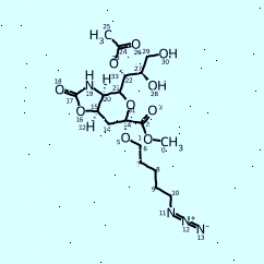 COC(=O)[C@@]1(OCCCCCN=[N+]=[N-])C[C@H]2OC(=O)N[C@H]2C([C@H](OC(C)=O)[C@H](O)CO)O1